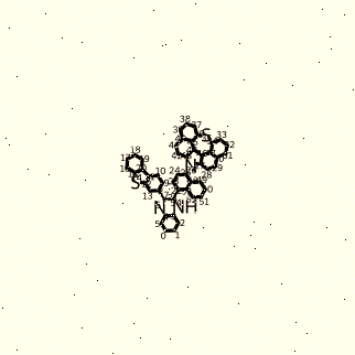 c1ccc2c(c1)N=C(c1ccc3c(c1)sc1ccccc13)C(c1ccc(-n3c4ccc5cccc6sc7cccc8ccc3c(c87)c4c56)c3ccccc13)N2